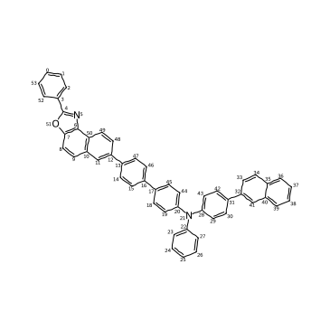 c1ccc(-c2nc3c(ccc4cc(-c5ccc(-c6ccc(N(c7ccccc7)c7ccc(-c8ccc9ccccc9c8)cc7)cc6)cc5)ccc43)o2)cc1